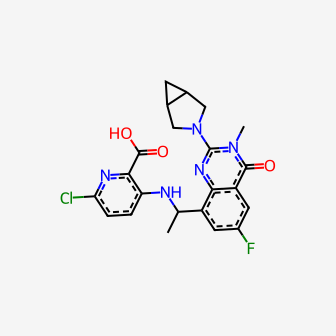 CC(Nc1ccc(Cl)nc1C(=O)O)c1cc(F)cc2c(=O)n(C)c(N3CC4CC4C3)nc12